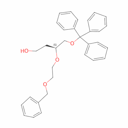 OCC[C@@H](COC(c1ccccc1)(c1ccccc1)c1ccccc1)OCCOCc1ccccc1